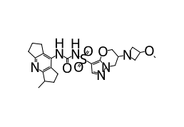 COC1CN(C2COc3c(S(=O)(=O)NC(=O)Nc4c5c(nc6c4CCC6C)CCC5)cnn3C2)C1